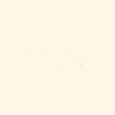 C=C(C)C(=O)OCCCC(C)CC[Si](OC)(OC)OC